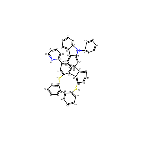 c1ccc(-n2c3ccccc3c3ccc(-c4cccc5c4-c4ccc(-c6ccccn6)cc4Sc4ccccc4-c4ccccc4S5)cc32)cc1